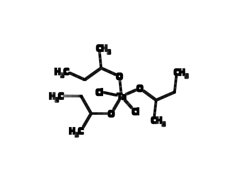 CCC(C)[O][Ta]([Cl])([Cl])([O]C(C)CC)[O]C(C)CC